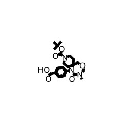 CN1COCC2(CCN(C(=O)OC(C)(C)C)CC2)N(c2ccc(C(=O)O)cc2)C1=O